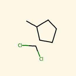 CC1CCCC1.ClCCl